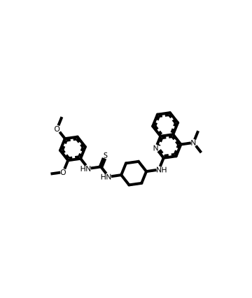 COc1ccc(NC(=S)NC2CCC(Nc3cc(N(C)C)c4ccccc4n3)CC2)c(OC)c1